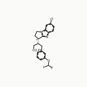 CCOC(=O)CN(Cc1cccc(OC(F)F)c1)[C@@H]1CCn2c1nc1ccc(Cl)cc12